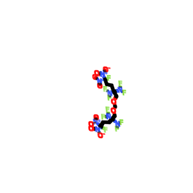 O=[N+]([O-])C(F)(CCC(COCOCC(CCC(F)([N+](=O)[O-])[N+](=O)[O-])(N(F)F)N(F)F)(N(F)F)N(F)F)[N+](=O)[O-]